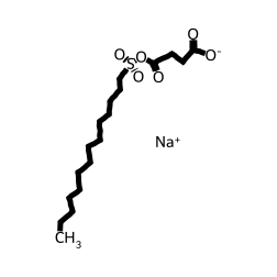 CCCCCCCCCCCCCCS(=O)(=O)OC(=O)CCC(=O)[O-].[Na+]